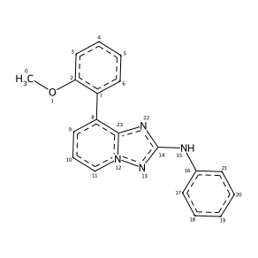 COc1ccccc1-c1cccn2nc(Nc3ccccc3)nc12